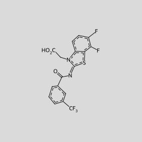 O=C(O)Cn1c(=NC(=O)c2cccc(C(F)(F)F)c2)sc2c(F)c(F)ccc21